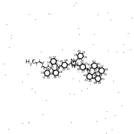 C=C/C=C\C=C/CC1(c2ccccc2)c2ccccc2N(c2ccc(-c3nc(-c4ccccc4)n(-c4ccc(N5c6ccccc6C(c6ccccc6)(c6ccccc6)c6ccccc65)cc4)n3)cc2)c2ccccc21